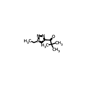 CCn1cc(C(=O)C(C)(C)C)nn1